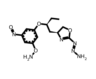 CC[C@@H](C[C@H]1COC(N=NN)=N1)Oc1cc(N=O)cc(ON)c1